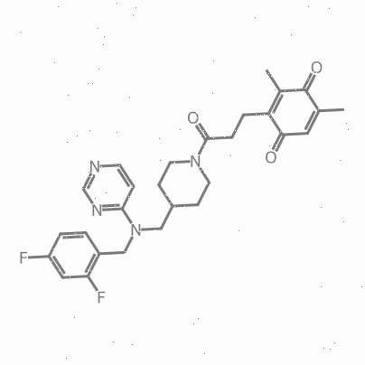 CC1=CC(=O)C(CCC(=O)N2CCC(CN(Cc3ccc(F)cc3F)c3ccncn3)CC2)=C(C)C1=O